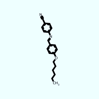 CCCCCCOc1ccc(C=Nc2ccc(C#N)cc2)cc1